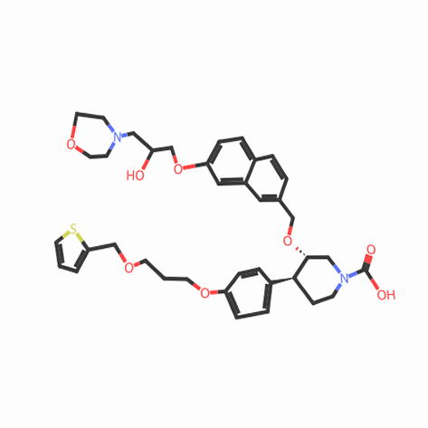 O=C(O)N1CC[C@@H](c2ccc(OCCCOCc3cccs3)cc2)[C@H](OCc2ccc3ccc(OCC(O)CN4CCOCC4)cc3c2)C1